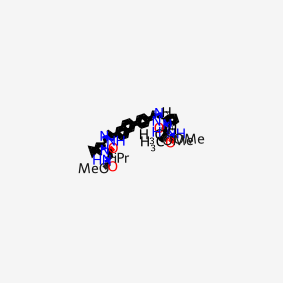 COC(=O)N[C@H](C(=O)N1CC2(CC2)C[C@H]1c1ncc(-c2ccc3cc(-c4ccc(-c5cnc([C@@H]6[C@H]7CC[C@H](C7)N6C(=O)[C@@H](NC(=O)OC)C(C)(C)OC)[nH]5)cc4)ccc3c2)[nH]1)C(C)C